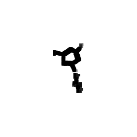 [Br][Mg][Br].[CH2]c1cc(F)cc(F)c1